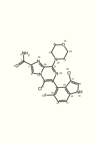 NC(=O)c1cn2c(Cl)c(-c3c(F)ccc4[nH]cc(Cl)c34)nc(N3CCOCC3)c2n1